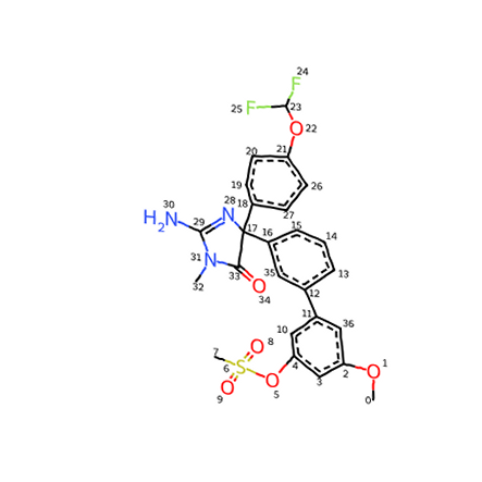 COc1cc(OS(C)(=O)=O)cc(-c2cccc(C3(c4ccc(OC(F)F)cc4)N=C(N)N(C)C3=O)c2)c1